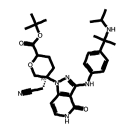 CC(C)NC(C)(C)c1ccc(Nc2nn([C@]3(CC#N)CCC(C(=O)OC(C)(C)C)OC3)c3cc[nH]c(=O)c23)cc1